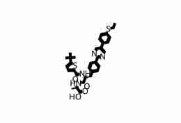 CCSc1ccc(-c2cnc(-c3ccc(C[C@H](NC(=O)c4ccc(C(C)(C)C)s4)C(=O)N[C@H](C)C(=O)O)cc3)nc2)cc1